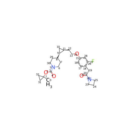 CC1(OC(=O)N2CCC([C@H]3C[C@H]3CCOc3ccc(CC(=O)N4CCC4)c(F)c3)CC2)CC1